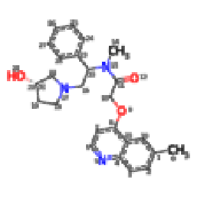 Cc1ccc2nccc(OCC(=O)N(C)C(CN3CC[C@H](O)C3)c3ccccc3)c2c1